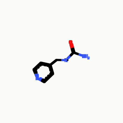 NC(=O)[N]Cc1ccncc1